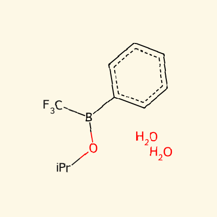 CC(C)OB(c1ccccc1)C(F)(F)F.O.O